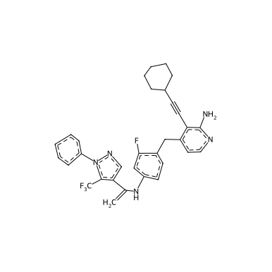 C=C(Nc1ccc(Cc2ccnc(N)c2C#CC2CCCCC2)c(F)c1)c1cnn(-c2ccccc2)c1C(F)(F)F